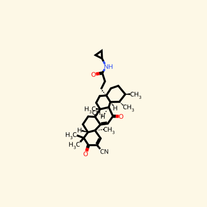 C[C@@H]1[C@H]2[C@H]3C(=O)C=C4[C@@]5(C)C=C(C#N)C(=O)C(C)(C)[C@@H]5CC[C@@]4(C)[C@]3(C)CC[C@@]2(CCC(=O)NC2CC2)CC[C@H]1C